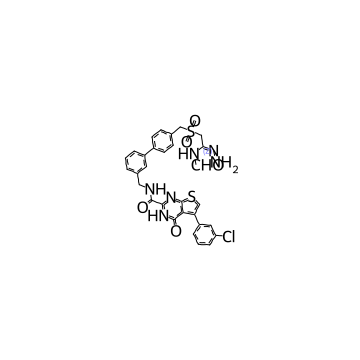 N/N=C(/CS(=O)(=O)Cc1ccc(-c2cccc(CNC(=O)c3nc4scc(-c5cccc(Cl)c5)c4c(=O)[nH]3)c2)cc1)NC=O